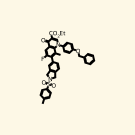 CCOC(=O)c1cn(-c2ccc(OCc3ccccc3)cc2)c2c(C)c(-c3ccc4c(c3)CN(S(=O)(=O)c3ccc(C)cc3)C4)c(F)cc2c1=O